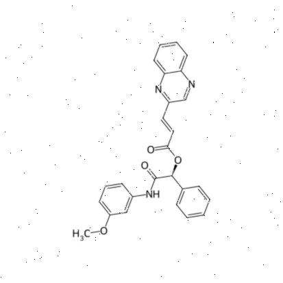 COc1cccc(NC(=O)[C@@H](OC(=O)/C=C/c2cnc3ccccc3n2)c2ccccc2)c1